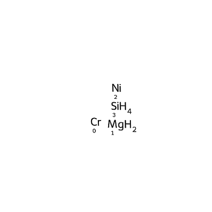 [Cr].[MgH2].[Ni].[SiH4]